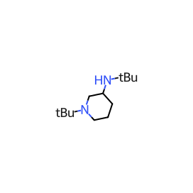 CC(C)(C)NC1CCCN(C(C)(C)C)C1